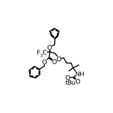 CC(C)(CCCOCC(OCc1ccccc1)(C(=O)OCc1ccccc1)C(F)(F)F)NC(=O)OC(C)(C)C